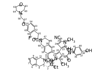 CCOC[C@@H]1Cc2ccccc2CN1C(=O)c1cc2c(cc1-c1c(-c3cc(C#N)n(C)c3C)c(C(=O)Nc3ccc(O)cc3)c(C)n1C)CCN(C(=O)Cc1ccc(OCCN3CCOCC3)cc1F)C2